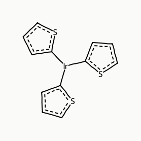 c1cs[c]([Ir]([c]2cccs2)[c]2cccs2)c1